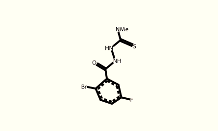 CNC(=S)NNC(=O)c1cc(F)ccc1Br